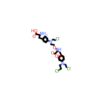 N[C@@H](Cc1ccc(N(CCCl)CCON[C@@H](Cc2ccc(N(CCCl)CCCl)cc2)C(=O)O)cc1)C(=O)O